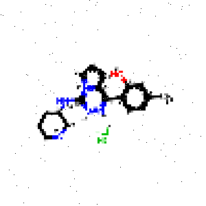 Cl.Cl.Oc1cc(C(F)(F)F)ccc1-c1nnc(N[C@@H]2CCCNC2)n2cccc12